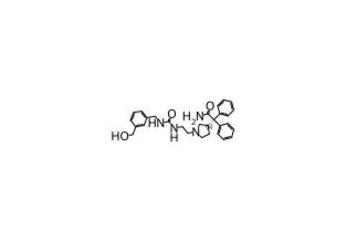 NC(=O)C(c1ccccc1)(c1ccccc1)[C@@H]1CCN(CCNC(=O)NCc2cccc(CO)c2)C1